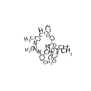 CC1(C)[C@H](C(=O)OC(C#N)c2cccc(Oc3ccccc3)c2)[C@@H]1C=C(Cl)Cl.Cc1ccc(/N=C/N(C)/C=N/c2ccc(C)cc2C)c(C)c1